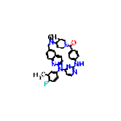 Cc1cc(Nc2ccnc(Nc3ccc(C(=O)N4CCC(N(C)Cc5ccc6ncccc6c5)CC4)cc3)n2)ccc1F